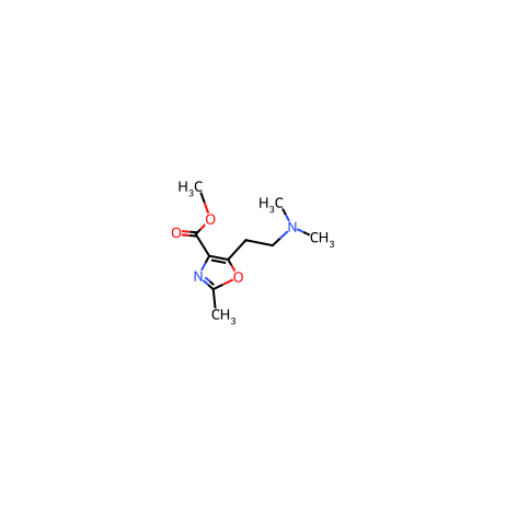 COC(=O)c1nc(C)oc1CCN(C)C